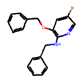 Brc1cnc(NCc2ccccc2)c(OCc2ccccc2)c1